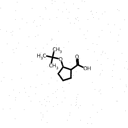 CC(C)(C)OC1CCCC1C(=O)O